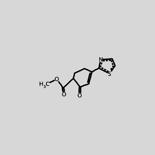 COC(=O)C1CCC(c2nccs2)=CC1=O